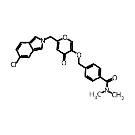 CN(C)C(=O)c1ccc(COc2coc(Cn3cc4ccc(Cl)cc4c3)cc2=O)cc1